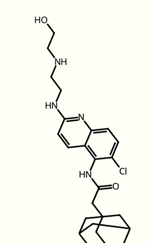 O=C(CC12CC3CC(CC(C3)C1)C2)Nc1c(Cl)ccc2nc(NCCNCCO)ccc12